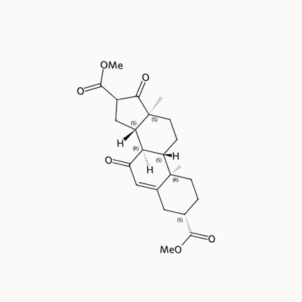 COC(=O)C1C[C@H]2[C@@H]3C(=O)C=C4C[C@@H](C(=O)OC)CC[C@]4(C)[C@H]3CC[C@]2(C)C1=O